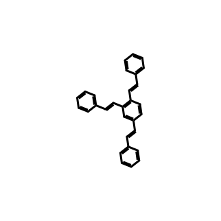 C(=C\c1ccc(/C=C/c2ccccc2)c(/C=C/c2ccccc2)c1)/c1ccccc1